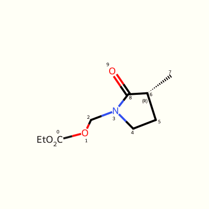 CCOC(=O)OCN1CC[C@@H](C)C1=O